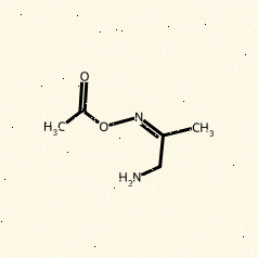 CC(=O)O/N=C(/C)CN